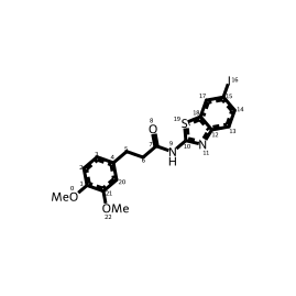 COc1ccc(CCC(=O)Nc2nc3ccc(I)cc3s2)cc1OC